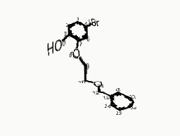 Oc1ccc(Br)cc1OCCOCc1ccccc1